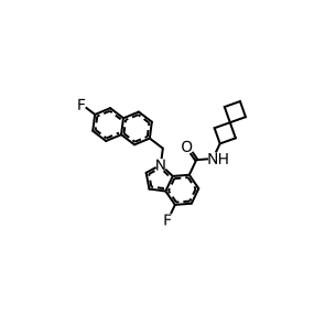 O=C(NC1CC2(CCC2)C1)c1ccc(F)c2ccn(Cc3ccc4cc(F)ccc4c3)c12